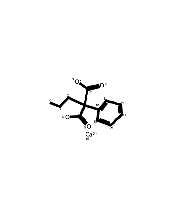 CCCC(C(=O)[O-])(C(=O)[O-])c1ccccc1.[Ca+2]